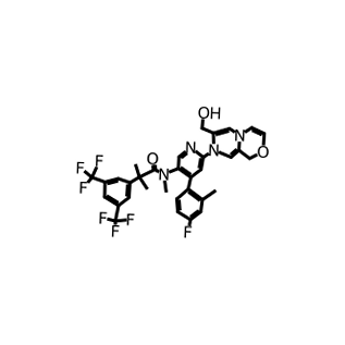 Cc1cc(F)ccc1-c1cc(N2C=C3COC=CN3C=C2CO)ncc1N(C)C(=O)C(C)(C)c1cc(C(F)(F)F)cc(C(F)(F)F)c1